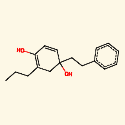 CCCC1=C(O)C=CC(O)(CCc2ccccc2)C1